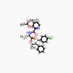 COc1ccnc(C(=O)N[C@@H](C)C(=O)O[C@@H](C)[C@H](Cc2ccc(Cl)cc2)c2ccccc2)c1OC(=O)C(C)C